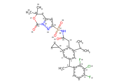 CC(C)c1cc(C(C)c2ccc(F)c(Cl)c2F)cc(C2CC2)c1CC(=O)NS(=O)(=O)c1cc2n(n1)C(=O)OC(C)(C)C2